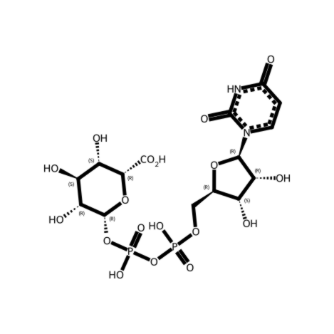 O=C(O)[C@@H]1O[C@H](OP(=O)(O)OP(=O)(O)OC[C@H]2O[C@@H](n3ccc(=O)[nH]c3=O)[C@H](O)[C@@H]2O)[C@H](O)[C@@H](O)[C@@H]1O